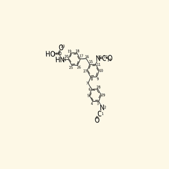 O=C=Nc1ccc(Cc2ccc(N=C=O)c(Cc3ccc(NC(=O)O)cc3)c2)cc1